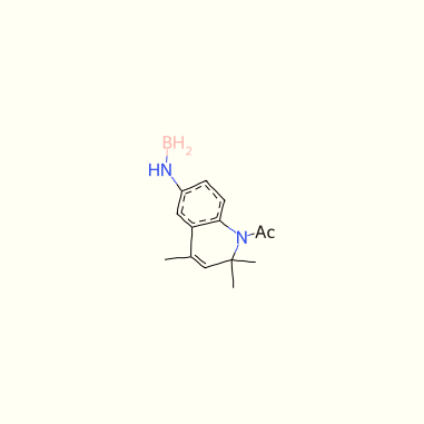 BNc1ccc2c(c1)C(C)=CC(C)(C)N2C(C)=O